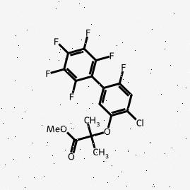 COC(=O)C(C)(C)Oc1cc(-c2c(F)c(F)c(F)c(F)c2F)c(F)cc1Cl